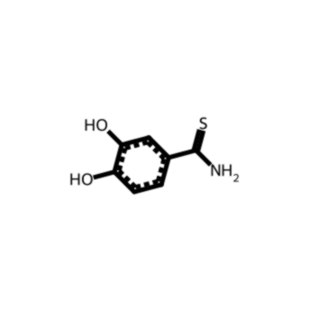 NC(=S)c1ccc(O)c(O)c1